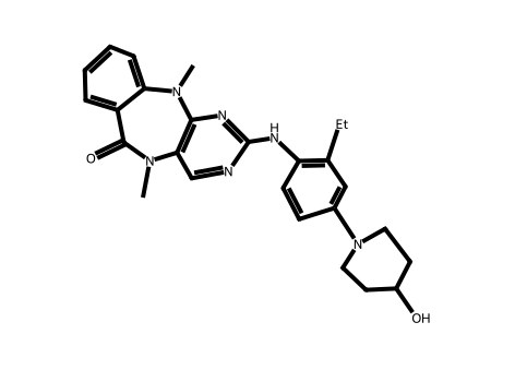 CCc1cc(N2CCC(O)CC2)ccc1Nc1ncc2c(n1)N(C)c1ccccc1C(=O)N2C